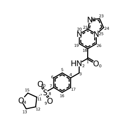 O=C(NCc1ccc(S(=O)(=O)[C@@H]2CCOC2)cc1)c1cnc2nccn2c1